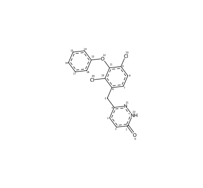 O=c1ccc(Cc2ccc(Cl)c(Oc3ccccc3)c2Cl)n[nH]1